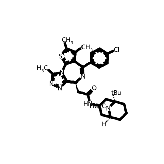 Cc1sc2c(c1C)C(c1ccc(Cl)cc1)=N[C@@H](CC(=O)NC1C[C@@H]3CCC[C@](C(C)(C)C)(C1)N3C(=O)O)c1nnc(C)n1-2